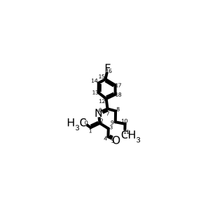 C/C=C(CC=O)\N=C(/CCCC)c1ccc(F)cc1